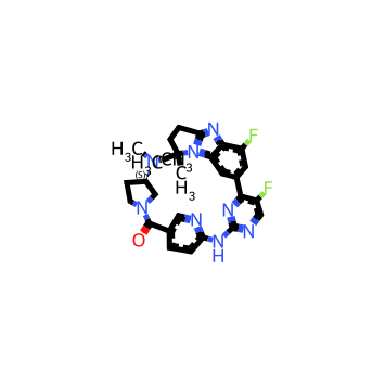 CN(C)[C@H]1CCN(C(=O)c2ccc(Nc3ncc(F)c(-c4cc(F)c5nc6n(c5c4)C(C)(C)CC6)n3)nc2)C1